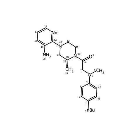 CCCCc1ccc(N(C)CC(=O)N2CCN(c3ncccc3N)C[C@@H]2C)cc1